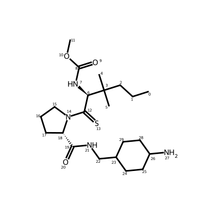 CCCC(C)(C)[C@H](NC(=O)OC)C(=S)N1CCC[C@H]1C(=O)NCC1CCC(N)CC1